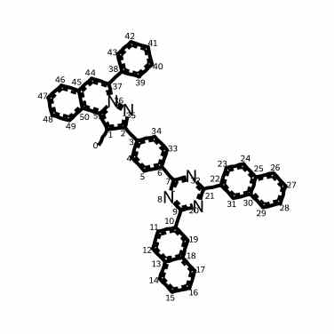 Cc1c(-c2ccc(-c3nc(-c4ccc5ccccc5c4)nc(-c4ccc5ccccc5c4)n3)cc2)nn2c(-c3ccccc3)cc3ccccc3c12